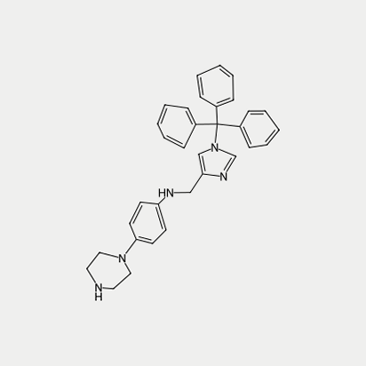 c1ccc(C(c2ccccc2)(c2ccccc2)n2cnc(CNc3ccc(N4CCNCC4)cc3)c2)cc1